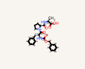 C[C@H](NC(=O)[C@@H]1CCCN1C(=O)[C@@H](Cc1ccccc1)NC(=O)OCc1ccccc1)C(=O)O